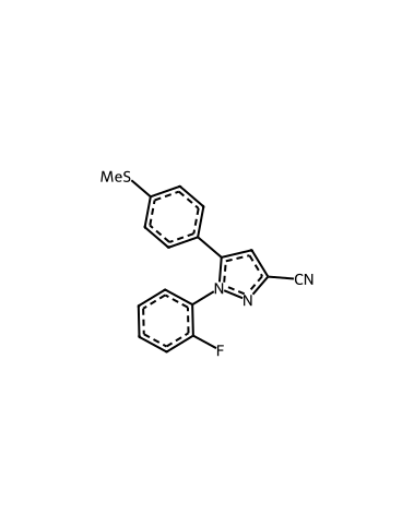 CSc1ccc(-c2cc(C#N)nn2-c2ccccc2F)cc1